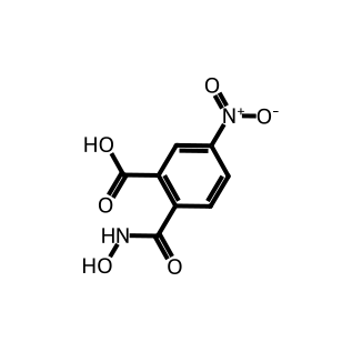 O=C(O)c1cc([N+](=O)[O-])ccc1C(=O)NO